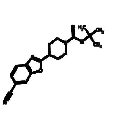 CC(C)(C)OC(=O)N1CCN(c2nc3ccc(C#N)cc3o2)CC1